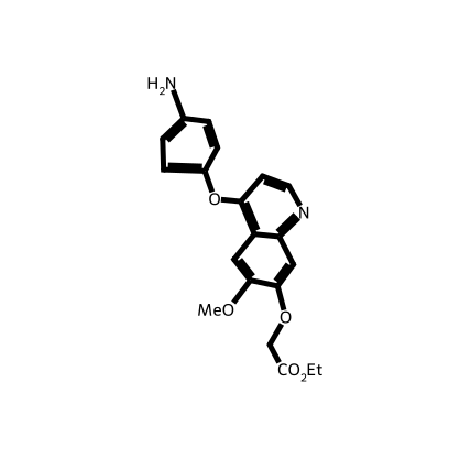 CCOC(=O)COc1cc2nccc(Oc3ccc(N)cc3)c2cc1OC